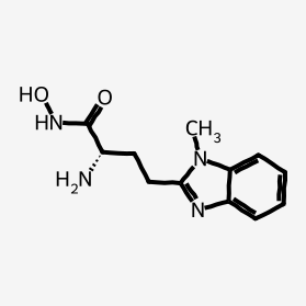 Cn1c(CC[C@H](N)C(=O)NO)nc2ccccc21